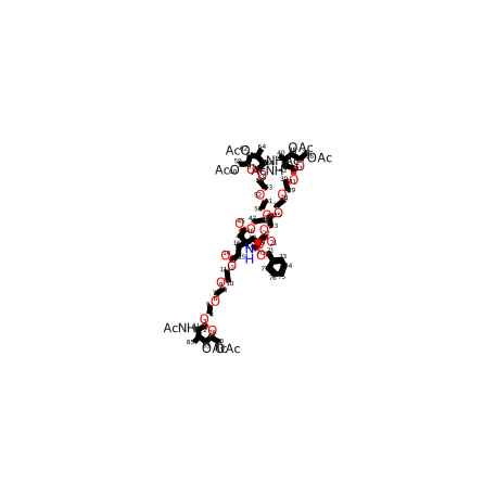 CC(=O)NC1C(OCCOCCOCCOC(=O)CCC(CCC(=O)OCCOCCOCCOC2OC(COC(C)=O)C(OC(C)=O)C(C)C2NC(C)=O)(CC(=O)OCCOCCOCCOC2OC(COC(C)=O)C(OC(C)=O)C(C)C2NC(C)=O)NC(=O)OCc2ccccc2)OC(COC(C)=O)C(OC(C)=O)C1C